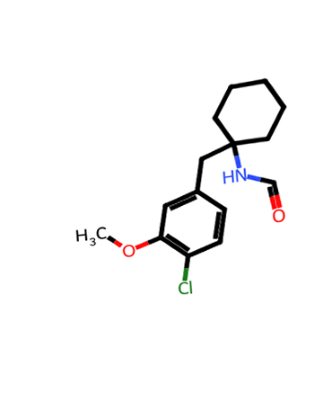 COc1cc(CC2(NC=O)CCCCC2)ccc1Cl